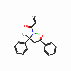 C=CC(=O)N(Cl)C(C)(CC(=O)c1ccccc1)c1ccccc1